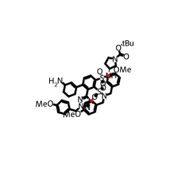 COc1ccc(CN(Cc2ccc(OC)cc2)S(=O)(=O)c2c(S(=O)(=O)N[C@@H]3CCN(C(=O)OC(C)(C)C)C3)ccc(C3=CC(N)CCC3)c2-c2nnn(Cc3ccc(OC)cc3)n2)cc1